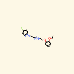 CCOc1ccccc1OCCNCCCNc1ccc(F)cc1